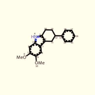 COc1cc2[nH]c3c(c2cc1OC)CC(c1ccccc1)CC3